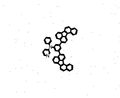 c1ccc(N(c2cccnc2)c2cc(-c3ccc4c5c(cccc35)-c3ccc5ccccc5c3-4)cc(-c3ccc4c5c(cccc35)-c3ccc5ccccc5c3-4)c2)cc1